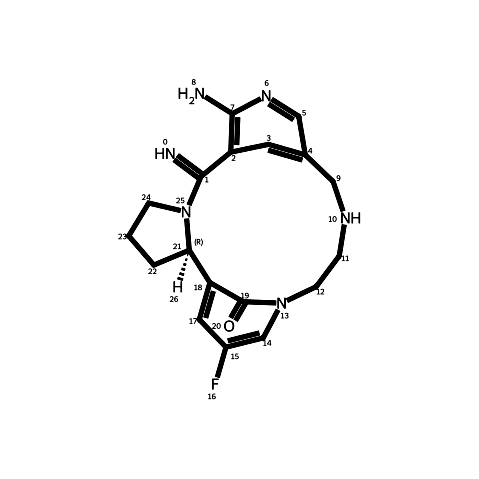 N=C1c2cc(cnc2N)CNCCn2cc(F)cc(c2=O)[C@H]2CCCN12